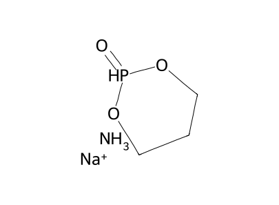 N.O=[PH]1OCCCO1.[Na+]